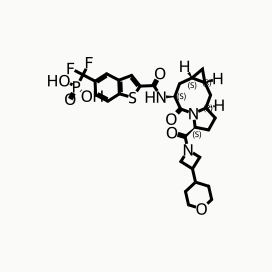 O=C(N[C@H]1C[C@@H]2C[C@@H]2C[C@H]2CC[C@@H](C(=O)N3CC(C4CCOCC4)C3)N2C1=O)c1cc2cc(C(F)(F)P(=O)(O)O)ccc2s1